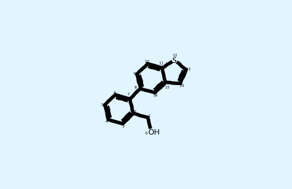 OCc1ccccc1-c1ccc2sccc2c1